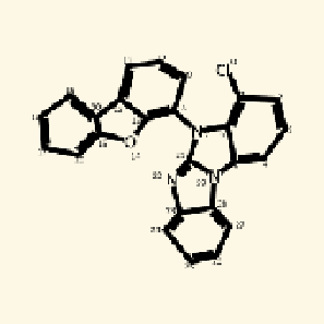 Clc1cccc2c1n(-c1cccc3c1oc1ccccc13)c1nc3ccccc3n21